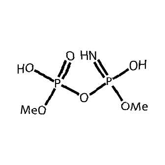 COP(=N)(O)OP(=O)(O)OC